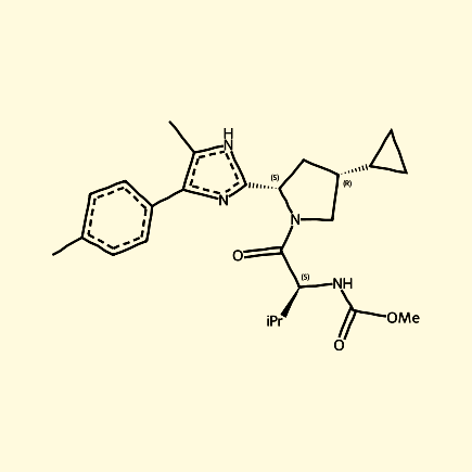 COC(=O)N[C@H](C(=O)N1C[C@@H](C2CC2)C[C@H]1c1nc(-c2ccc(C)cc2)c(C)[nH]1)C(C)C